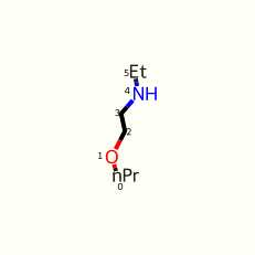 CCCOCCNCC